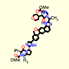 COC(=O)N[C@H](C(=O)N1[C@@H](C)CC[C@H]1c1ncc(-c2ccc3c(c2)COc2cc4c(ccc5nc([C@H](C)N(CC(C)C)C(=O)[C@@H](NC(=O)OC)C6CCOCC6)[nH]c54)cc2-3)[nH]1)C(C)C